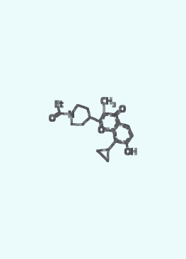 CCC(=O)N1CCC(c2oc3c(C4CC4)c(O)ccc3c(=O)c2C)CC1